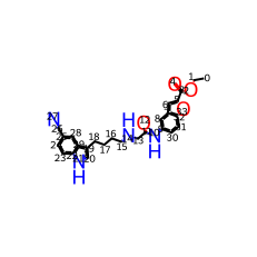 CCOC(=O)c1cc2cc(NC(=O)CNCCCCc3c[nH]c4ccc(C#N)cc34)ccc2o1